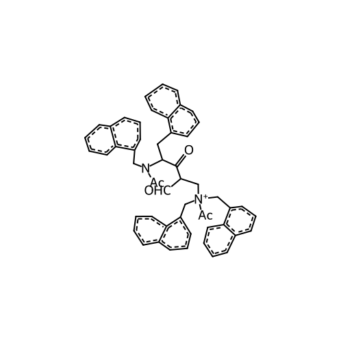 CC(=O)N(Cc1cccc2ccccc12)C(Cc1cccc2ccccc12)C(=O)C([C]=O)C[N+](Cc1cccc2ccccc12)(Cc1cccc2ccccc12)C(C)=O